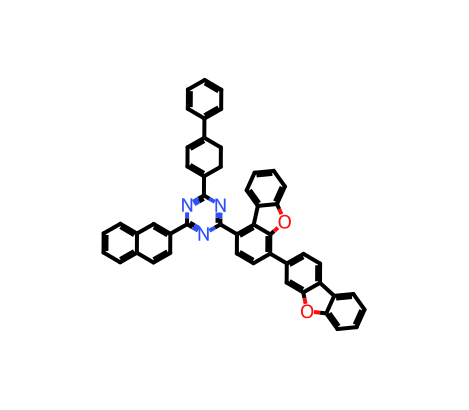 C1=C(c2ccccc2)CCC(c2nc(-c3ccc4ccccc4c3)nc(-c3ccc(-c4ccc5c(c4)oc4ccccc45)c4oc5ccccc5c34)n2)=C1